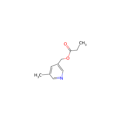 CCC(=O)OCc1cncc(C)c1